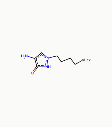 CCCCCCCCCCn1cc(N)c(=O)[nH]1